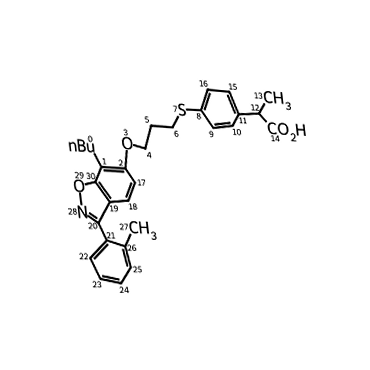 CCCCc1c(OCCCSc2ccc(C(C)C(=O)O)cc2)ccc2c(-c3ccccc3C)noc12